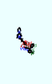 O=c1[nH]c2ccc(C(F)(F)F)cc2c(-c2cc(Cl)ccc2O)c1SCC(O)CCCN1CCC(N2CCCCC2)CC1